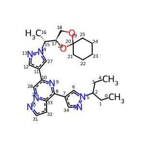 CCC(CC)n1cc(-c2nc(-c3cnn([C@H](C)[C@H]4COC5(CCCCC5)O4)c3)cn3nccc23)cn1